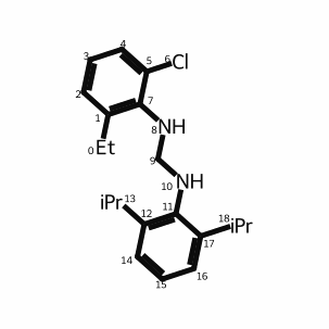 CCc1cccc(Cl)c1NCNc1c(C(C)C)cccc1C(C)C